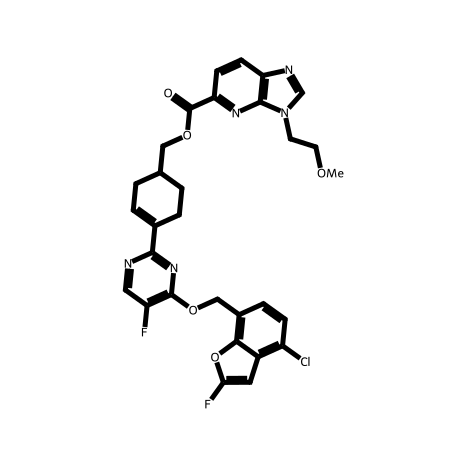 COCCn1cnc2ccc(C(=O)OCC3CC=C(c4ncc(F)c(OCc5ccc(Cl)c6cc(F)oc56)n4)CC3)nc21